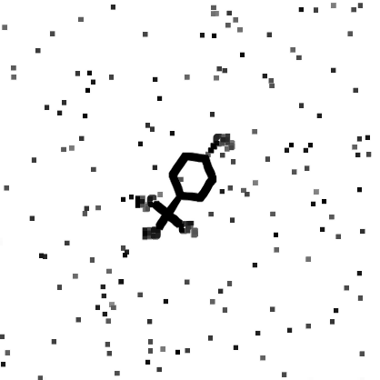 CC(O)([C@H]1CC[C@H](C)CC1)C(F)(F)F